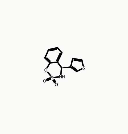 O=S1(=O)N[C@H](c2ccsc2)c2ccccc2O1